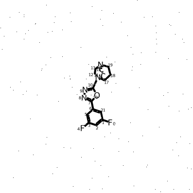 Fc1cc(F)cc(-c2nnc(N3CCN4CCC3CC4)o2)c1